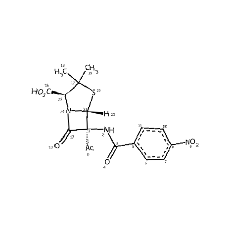 CC(=O)[C@]1(NC(=O)c2ccc([N+](=O)[O-])cc2)C(=O)N2[C@@H](C(=O)O)C(C)(C)S[C@@H]21